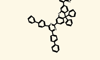 c1ccc(-c2ccc(-c3cc(-c4ccc(-c5ccccc5)cc4)nc(-c4ccc5c(c4)Sc4cc(-c6cccc7cccnc67)ccc4C5(c4ccccc4)c4ccccc4)n3)cc2)cc1